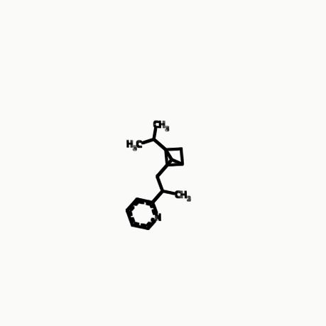 CC(CC1C2CC1(C(C)C)C2)c1ccccn1